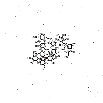 CC(=O)NC1C(O)[C@H](O[C@@H]2OC(CO[C@]3(OC=O)C[C@@H](O)[C@@H](C)C([C@@H](O)[C@H](O)CO)O3)[C@H](O)[C@H](O)C2O)[C@H](CO)O[C@H]1OC1[C@@H](OCC2O[C@@H](O[C@@H]3C(CO)O[C@@H](O[C@@H]4C(CO)O[C@@H](C)C(NC(C)=O)[C@H]4O)C(NC(C)=O)[C@H]3O)C(O)[C@@H](O[C@H]3OC(CO)[C@@H](O)C(O)C3O[C@@H]3OC(CO)[C@@H](O[C@@H]4OC5O[C@@H]5[C@H](O)C4O)[C@H](O)C3NC(C)=O)[C@@H]2O)OC(CO)[C@@H](O)[C@@H]1O